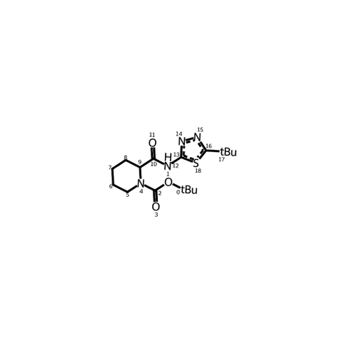 CC(C)(C)OC(=O)N1CCCCC1C(=O)Nc1nnc(C(C)(C)C)s1